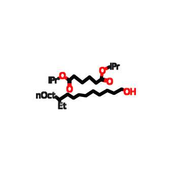 CC(C)OC(=O)CCCCC(=O)OC(C)C.CCCCCCCCC(CC)CCCCCCCCCO